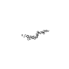 CN(C(=O)c1ccc(C(F)(F)F)cc1Cl)c1ccc(Oc2ccc3cc(C(=O)N4CCN(C(=O)OC(C)(C)C)CC4)n(C)c3c2)nc1